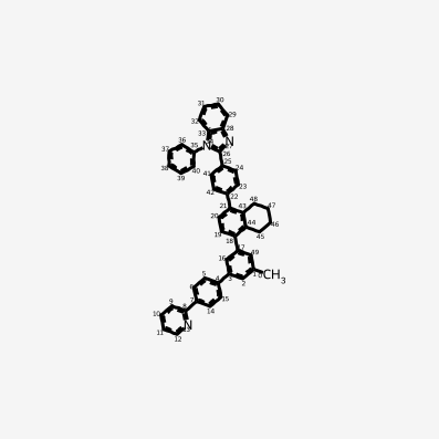 Cc1cc(-c2ccc(-c3ccccn3)cc2)cc(-c2ccc(-c3ccc(-c4nc5ccccc5n4-c4ccccc4)cc3)c3c2CCCC3)c1